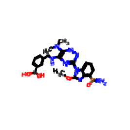 COc1nc2c([S+](N)[O-])cccc2n1-c1nnc(N(C)C)c(NCc2cccc(B(O)O)c2)n1